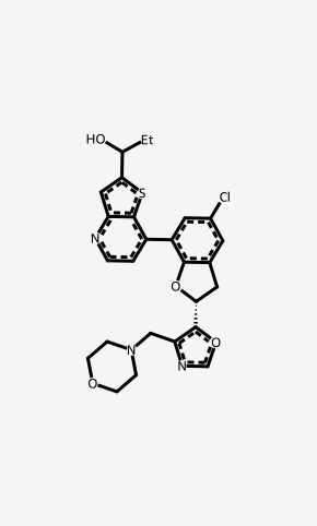 CCC(O)c1cc2nccc(-c3cc(Cl)cc4c3O[C@@H](c3ocnc3CN3CCOCC3)C4)c2s1